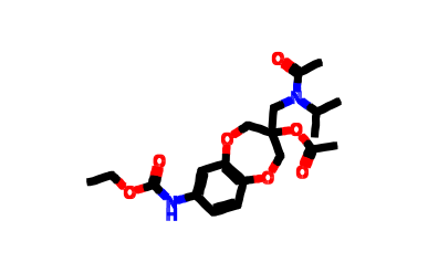 CCOC(=O)Nc1ccc2c(c1)OCC(CN(C(C)=O)C(C)C)(OC(C)=O)CO2